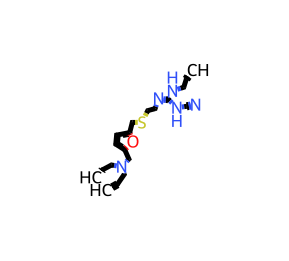 C#CCN/C(=N/CCSCc1ccc(CN(CC#C)CC#C)o1)NC#N